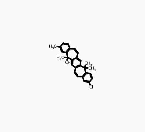 Cc1ccc2c(c1)C(C)(C)c1cc3c(cc1C=C2)C(C)(C)c1ccc(Cl)cc1C=C3